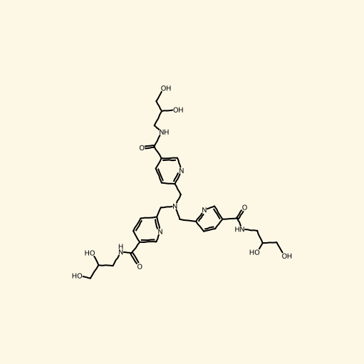 O=C(NCC(O)CO)c1ccc(CN(Cc2ccc(C(=O)NCC(O)CO)cn2)Cc2ccc(C(=O)NCC(O)CO)cn2)nc1